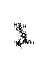 CCCCN(CCc1c(C)nn(C)c1C)Cc1ccc(/C=C/C(=O)NO)cc1